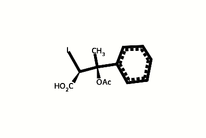 CC(=O)O[C@@](C)(c1ccccc1)[C@H](I)C(=O)O